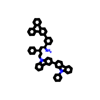 NC(/C=C(\C=C\n1c2ccccc2c2cc(-c3ccc4c5ccccc5n(-c5ccccc5)c4c3)ccc21)c1ccccc1)c1cccc(-c2ccc3c4ccccc4c4ccccc4c3c2)c1